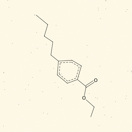 [CH2]CCCCc1ccc(C(=O)OCC)cc1